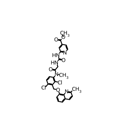 COC(=O)c1ccnc(NC(=O)NCC(=O)N(C)c2ccc(Cl)c(COc3cccc4ccc(C)nc34)c2Cl)c1